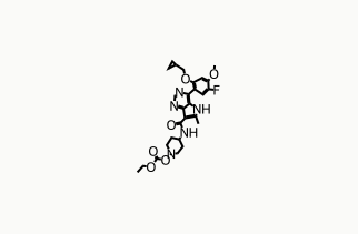 CCOC(=O)ON1CCC(NC(=O)c2c(C)[nH]c3c(-c4cc(F)c(OC)cc4OCC4CC4)ncnc23)CC1